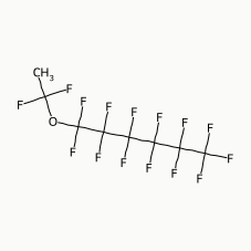 CC(F)(F)OC(F)(F)C(F)(F)C(F)(F)C(F)(F)C(F)(F)C(F)(F)F